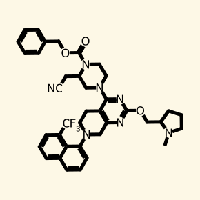 CN1CCCC1COc1nc2c(c(N3CCN(C(=O)OCc4ccccc4)C(CC#N)C3)n1)CCN(c1cccc3cccc(C(F)(F)F)c13)C2